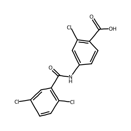 O=C(O)c1ccc(NC(=O)c2cc(Cl)ccc2Cl)cc1Cl